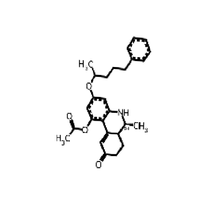 CC(=O)Oc1cc(OC(C)CCCc2ccccc2)cc2c1C1=CC(=O)CCC1[C@H](C)N2